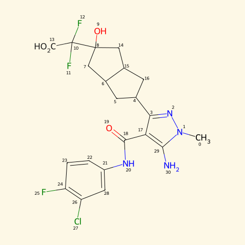 Cn1nc(C2CC3CC(O)(C(F)(F)C(=O)O)CC3C2)c(C(=O)Nc2ccc(F)c(Cl)c2)c1N